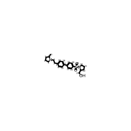 CC1CCCN1CCc1ccc(-c2ccc(S(=O)(=O)N3CCCC3CO)cc2)cc1